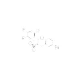 O=[N+]([O-])C1Cc2cc(Br)ccc2OC1c1cc(F)c(F)cc1F